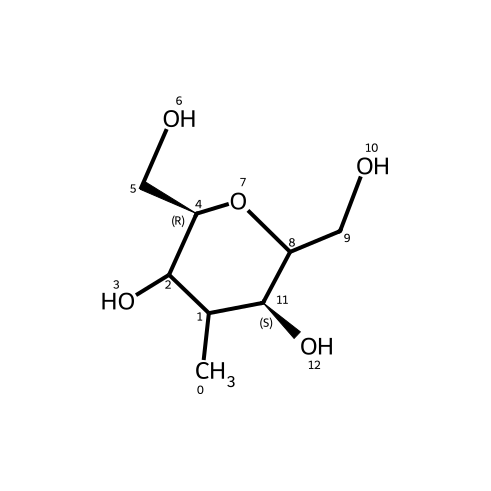 CC1C(O)[C@@H](CO)OC(CO)[C@H]1O